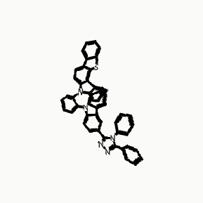 c1ccc(-c2nnc(-c3ccc4c(c3)c3ccccc3n4-c3ccccc3-n3c4ccccc4c4c5sc6ccccc6c5ccc43)n2-c2ccccc2)cc1